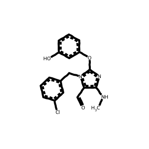 CNc1nc(Oc2cccc(O)c2)n(Cc2cccc(Cl)c2)c1C=O